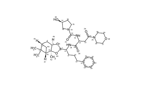 CC1(C)[C@@H]2C[C@H]3OB(C(CCCc4ccccc4)NC(=O)C(CC(=O)N4CCOCC4)NC(=O)N4CC[C@H](O)C4)O[C@@]3(C)[C@H]1C2